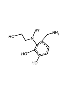 CC(C)N(CCO)c1c(CN)ccc(O)c1O